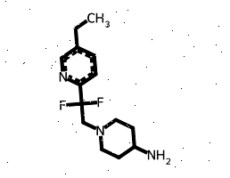 CCc1ccc(C(F)(F)CN2CCC(N)CC2)nc1